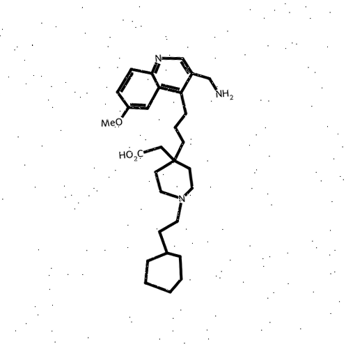 COc1ccc2ncc(CN)c(CCCC3(CC(=O)O)CCN(CCC4CCCCC4)CC3)c2c1